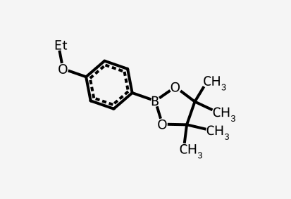 [CH2]COc1ccc(B2OC(C)(C)C(C)(C)O2)cc1